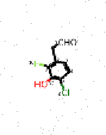 O=CCc1ccc(Cl)c(O)c1F